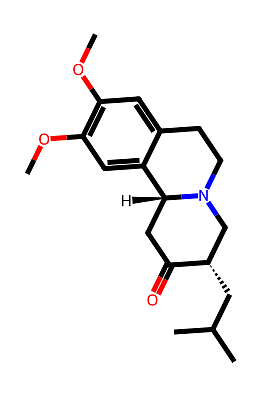 COc1cc2c(cc1OC)[C@H]1CC(=O)[C@@H](CC(C)C)CN1CC2